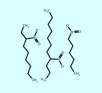 CCCCCCC(CC)[N+](=O)[O-].CCCCCCCC(CCC)[N+](=O)[O-].CCCCCC[N+](=O)[O-]